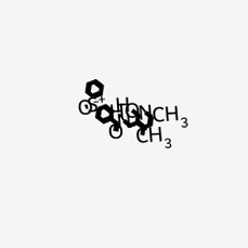 Cc1cc(C)c(CNC(=O)c2ccc([S+]([O-])c3ccccc3)cc2)c(O)n1